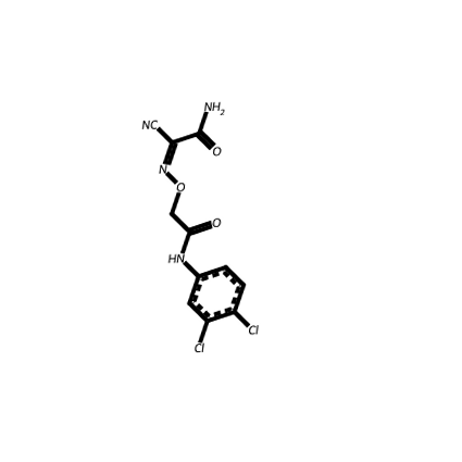 N#CC(=NOCC(=O)Nc1ccc(Cl)c(Cl)c1)C(N)=O